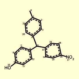 Cc1ccc(C(c2ccc(O)cc2)c2ccc([N+](=O)[O-])cc2)cc1